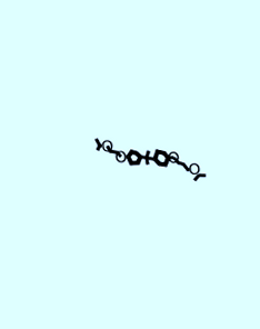 CC(C)OCCCOc1ccc(C(C)(C)c2ccc(OCCOC(C)C)cc2)cc1